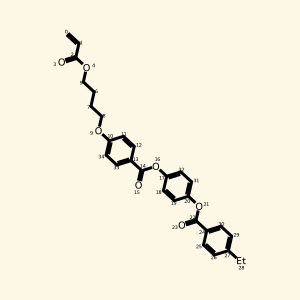 C=CC(=O)OCCCCOc1ccc(C(=O)Oc2ccc(OC(=O)c3ccc(CC)cc3)cc2)cc1